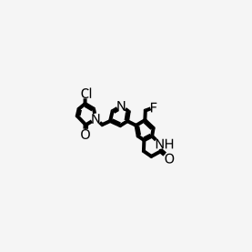 O=C1CCc2cc(-c3cncc(Cn4cc(Cl)ccc4=O)c3)c(CF)cc2N1